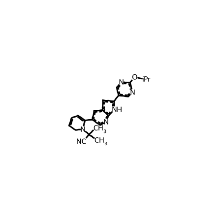 CC(C)Oc1ncc(-c2cc3cc(C4=CC=CCN4C(C)(C)C#N)cnc3[nH]2)cn1